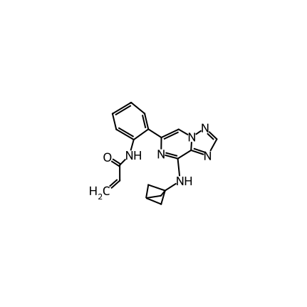 C=CC(=O)Nc1ccccc1-c1cn2ncnc2c(NC23CC(C2)C3)n1